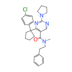 CN(CCc1ccccc1)C(=O)c1cnc(N2CCCC2)nc1C1(c2ccc(Cl)cc2)CCCC1